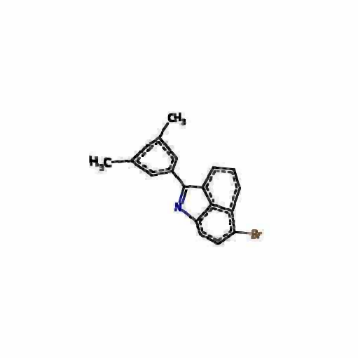 Cc1cc(C)cc(C2=Nc3ccc(Br)c4cccc2c34)c1